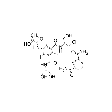 C[C@H](O)C(=O)Nc1c(I)c(C(=O)NC(CO)CO)c(I)c(C(=O)NC(CO)CO)c1I.NC(=O)c1cccc(C(N)=O)c1